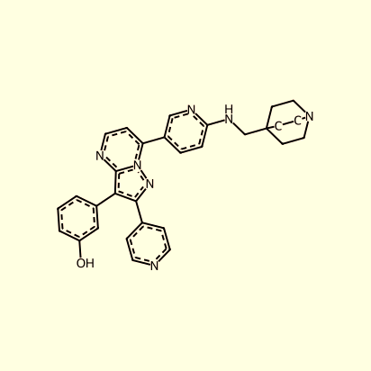 Oc1cccc(-c2c(-c3ccncc3)nn3c(-c4ccc(NCC56CCN(CC5)CC6)nc4)ccnc23)c1